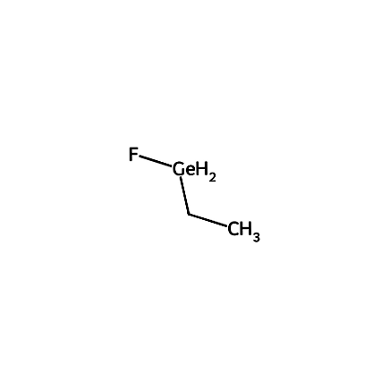 C[CH2][GeH2][F]